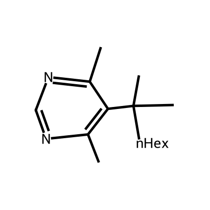 CCCCCCC(C)(C)c1c(C)ncnc1C